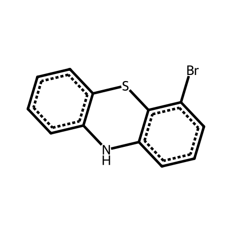 Brc1cccc2c1Sc1ccccc1N2